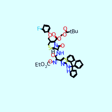 CCOC(=O)O/N=C(\C(=O)NC1C(=O)N2C(C(=O)OCOC(=O)C(C)(C)C)=C(COc3cccc(F)c3)CS[C@H]12)c1csc(NC(c2ccccc2)(c2ccccc2)c2ccccc2)n1